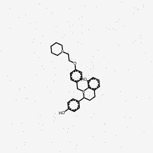 Oc1ccc(C2CCc3cccc(O)c3N2Cc2ccc(OCCN3CCCCC3)cc2)cc1